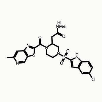 CNC(=O)CC1CN(S(=O)(=O)c2cc3cc(Cl)ccc3[nH]2)CCN1C(=O)c1nc2cc(C)ncc2s1.I